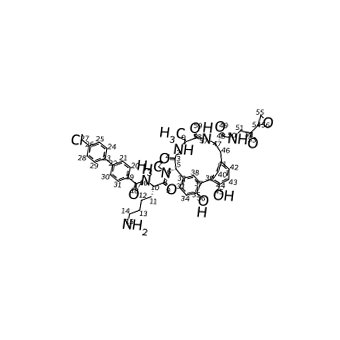 C[C@@H]1NC(=O)[C@@H](N(C)C(=O)[C@H](CCCCN)NC(=O)c2ccc(-c3ccc(Cl)cc3)cc2)c2ccc(O)c(c2)-c2cc(ccc2O)C[C@@H](C(=O)NCC(=O)C2CO2)NC1=O